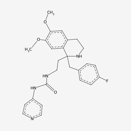 COc1cc2c(cc1OC)C(CCNC(=O)Nc1ccncc1)(Cc1ccc(F)cc1)NCC2